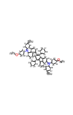 CCCOc1ccc(N(c2ccc(C(C)(C)C)cc2)c2ccc3c4c(-c5ccccc5)c5c6cccc7c(N(c8ccc(OCCC)cc8)c8ccc(C(C)(C)C)cc8)ccc(c5c(-c5ccccc5)c4c4cccc2c43)c76)cc1